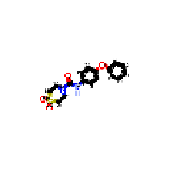 O=C(Nc1ccc(Oc2ccccc2)cc1)N1CCS(=O)(=O)CC1